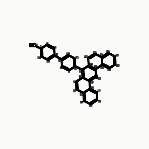 N#Cc1ccc(-c2ccc(-c3c4ccc5ccccc5c4nc4c3ccc3ccccc34)cc2)cc1